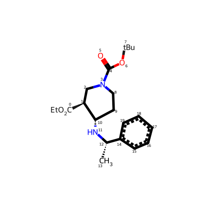 CCOC(=O)[C@H]1CN(C(=O)OC(C)(C)C)CC[C@@H]1N[C@@H](C)c1ccccc1